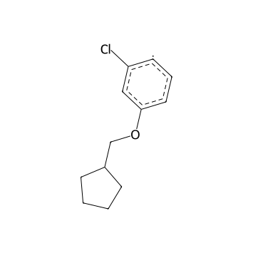 Clc1[c]ccc(OCC2CCCC2)c1